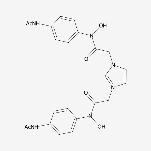 CC(=O)Nc1ccc(N(O)C(=O)Cn2cc[n+](CC(=O)N(O)c3ccc(NC(C)=O)cc3)c2)cc1